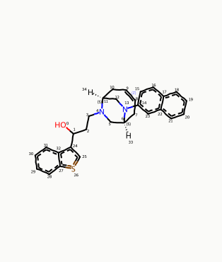 OC(CCN1C[C@@H]2C/C=C\C[C@H]1CN2c1ccc2ccccc2c1)c1csc2ccccc12